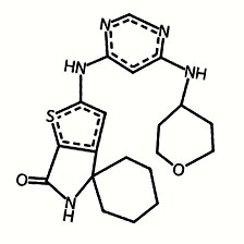 O=C1NC2(CCCCC2)c2cc(Nc3cc(NC4CCOCC4)ncn3)sc21